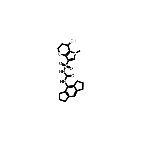 Cn1cc(S(=O)(=O)NC(=O)Nc2c3c(cc4c2CCC4)CCC3)c2c1C(O)CCO2